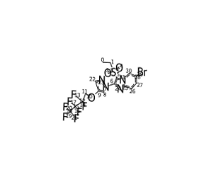 CCS(=O)(=O)c1c(-n2cc(OCC(F)(F)C(F)(F)C(F)(F)F)cn2)nc2ccc(Br)cn12